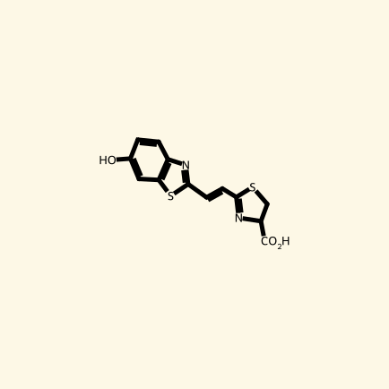 O=C(O)C1CSC(/C=C/c2nc3ccc(O)cc3s2)=N1